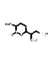 CNC1CCC(C(CC(=O)O)C(=O)O)OB1O